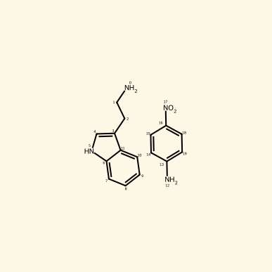 NCCc1c[nH]c2ccccc12.Nc1ccc([N+](=O)[O-])cc1